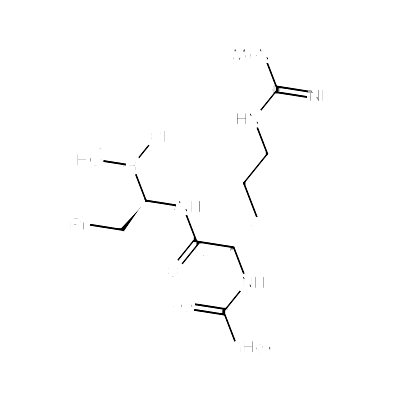 CCCCCCC(=O)N[C@@H](CCCNC(=N)NC)C(=O)N[C@@H](CC(C)C)B(O)O